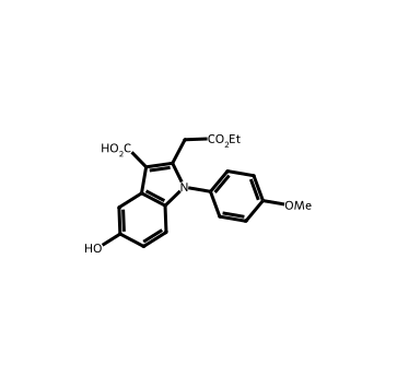 CCOC(=O)Cc1c(C(=O)O)c2cc(O)ccc2n1-c1ccc(OC)cc1